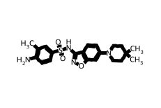 Cc1cc(S(=O)(=O)Nc2noc3cc(N4CCC(C)(C)CC4)ccc23)ccc1N